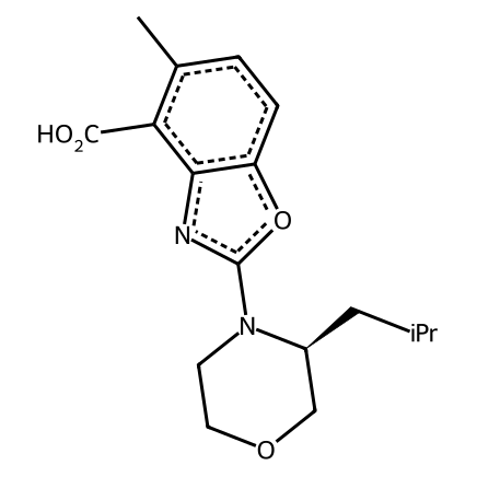 Cc1ccc2oc(N3CCOC[C@@H]3CC(C)C)nc2c1C(=O)O